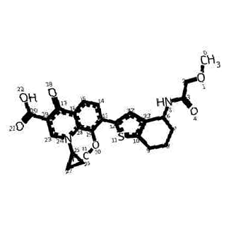 COCC(=O)NC1CCCc2sc(-c3ccc4c(=O)c(C(=O)O)cn(C5CC5)c4c3OC)cc21